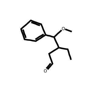 CCC(CC=O)C(OC)c1ccccc1